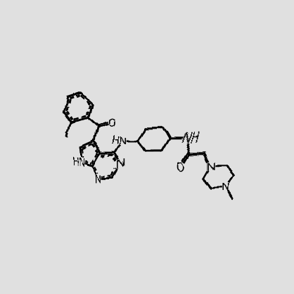 Cc1ccccc1C(=O)c1c[nH]c2ncnc(NC3CCC(NC(=O)CN4CCN(C)CC4)CC3)c12